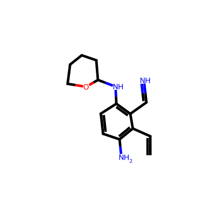 C=Cc1c(N)ccc(NC2CCCCO2)c1C=N